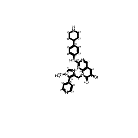 Cn1cnc(Cn2c(=O)c(Br)cc3cnc(Nc4ccc(C5CCNCC5)cc4)nc32)c1-c1ccncc1